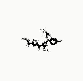 CC(C)NC(=O)c1cc(C(=O)c2sc(N(c3ccc(F)cc3)[C@H](C)C(N)=O)nc2N)on1